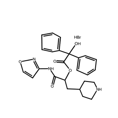 Br.O=C(Nc1ccon1)C(CC1CCNCC1)OC(=O)C(O)(c1ccccc1)c1ccccc1